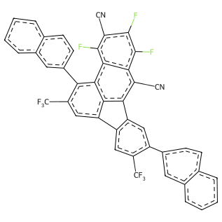 N#Cc1c(F)c(F)c2c(C#N)c3c4c(cc(C(F)(F)F)c(-c5ccc6ccccc6c5)c4c2c1F)-c1cc(C(F)(F)F)c(-c2ccc4ccccc4c2)cc1-3